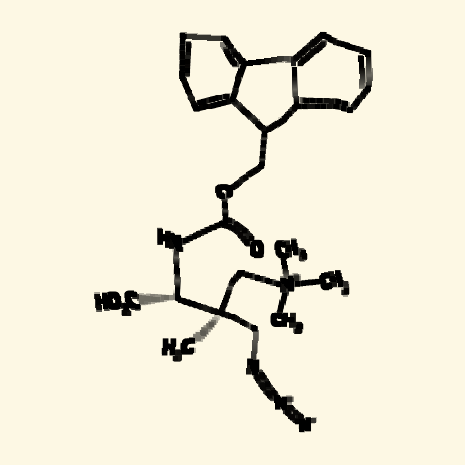 C[C@@](CN=[N+]=[N-])(C[N+](C)(C)C)[C@@H](NC(=O)OCC1c2ccccc2-c2ccccc21)C(=O)O